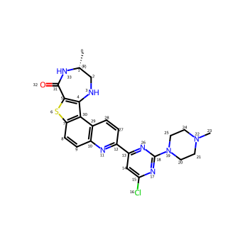 C[C@@H]1CNc2c(sc3ccc4nc(-c5cc(Cl)nc(N6CCN(C)CC6)n5)ccc4c23)C(=O)N1